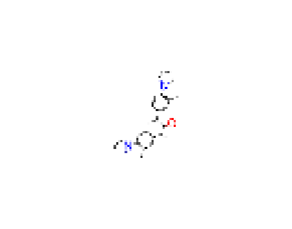 Cc1cc(C(C)C(=O)C(C)c2ccc(N3CCCC3)c(C)c2)ccc1N1CCCC1